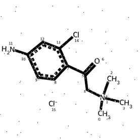 C[N+](C)(C)CC(=O)c1ccc(N)cc1Cl.[Cl-]